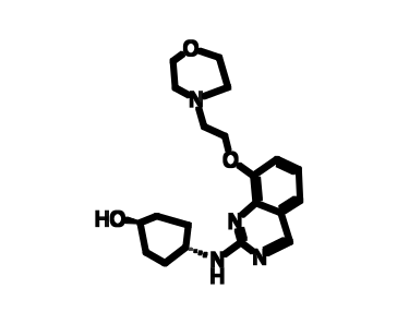 O[C@H]1CC[C@H](Nc2ncc3cccc(OCCN4CCOCC4)c3n2)CC1